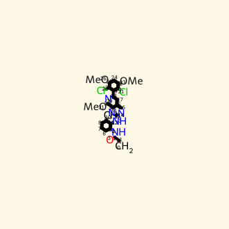 C=CC(=O)Nc1cccc(C)c1Nc1ncc2cc(-c3c(Cl)c(OC)cc(OC)c3Cl)nc(OC)c2n1